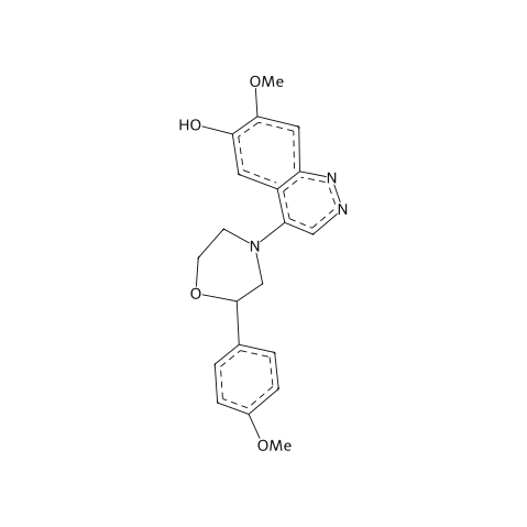 COc1ccc(C2CN(c3cnnc4cc(OC)c(O)cc34)CCO2)cc1